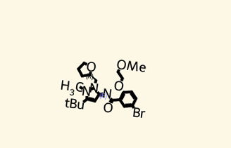 COCCOc1ccc(Br)cc1C(=O)/N=c1\cc(C(C)(C)C)n(C)n1C[C@H]1CCCO1